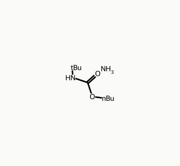 CCCCOC(=O)NC(C)(C)C.N